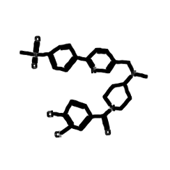 CN(Cc1ccc(-c2ccc(S(C)(=O)=O)cc2)nc1)C1CCN(C(=O)c2ccc(Cl)c(Cl)c2)CC1